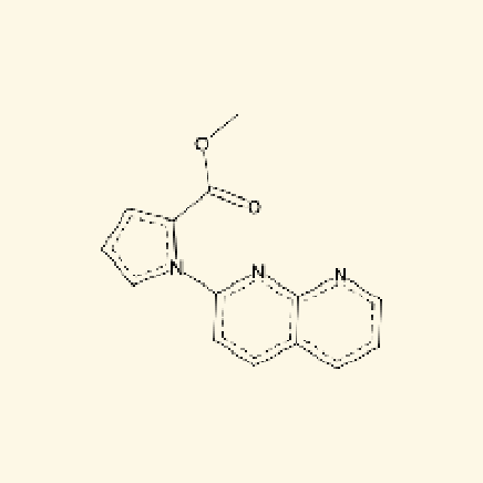 COC(=O)c1cccn1-c1ccc2cccnc2n1